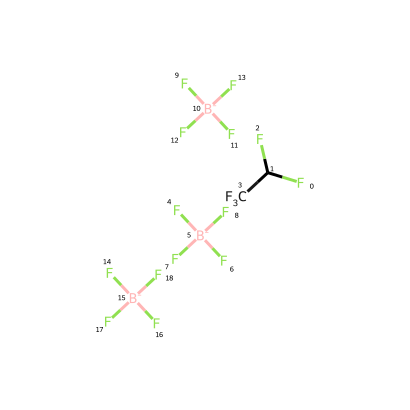 FC(F)C(F)(F)F.F[B-](F)(F)F.F[B-](F)(F)F.F[B-](F)(F)F